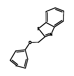 [c]1ccc(OCc2nc3ccccc3s2)cc1